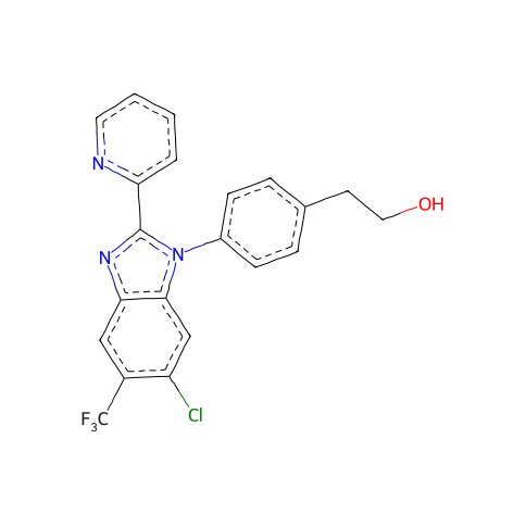 OCCc1ccc(-n2c(-c3ccccn3)nc3cc(C(F)(F)F)c(Cl)cc32)cc1